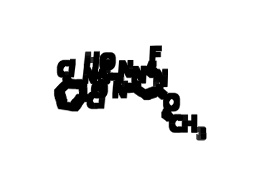 CCOc1cc2nc(S(=O)(=O)Nc3c(Cl)cccc3Cl)nn2c(F)n1